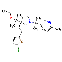 CCOC(C)(C)[C@]1(CCc2ccc(F)s2)CCN(C(C)(C)c2ccc(C)nc2)C1